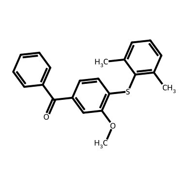 COc1cc(C(=O)c2ccccc2)ccc1Sc1c(C)cccc1C